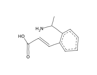 CC(N)c1ccccc1C=CC(=O)O